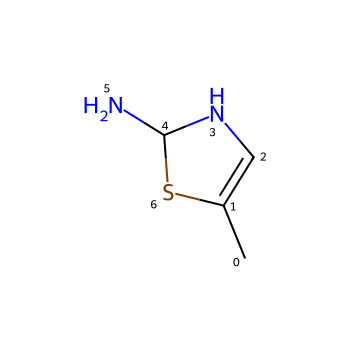 CC1=CNC(N)S1